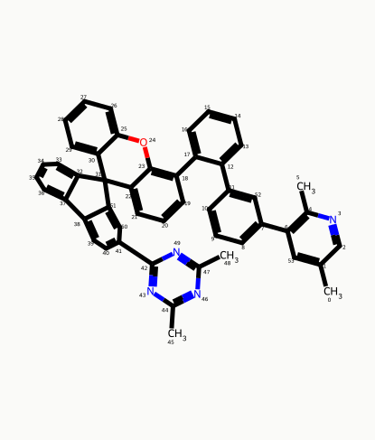 Cc1cnc(C)c(-c2cccc(-c3ccccc3-c3cccc4c3Oc3ccccc3C43c4ccccc4-c4ccc(-c5nc(C)nc(C)n5)cc43)c2)c1